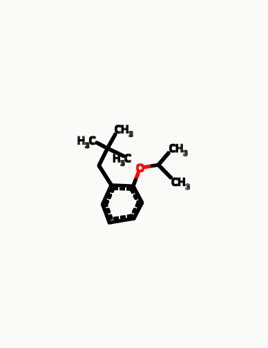 CC(C)Oc1ccccc1CC(C)(C)C